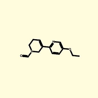 CCOc1ccc(C2=CCCN(C=O)C2)nc1